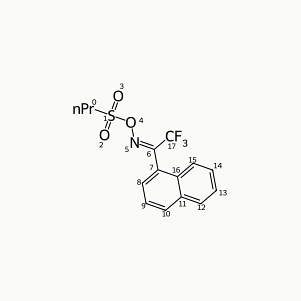 CCCS(=O)(=O)O/N=C(/c1cccc2ccccc12)C(F)(F)F